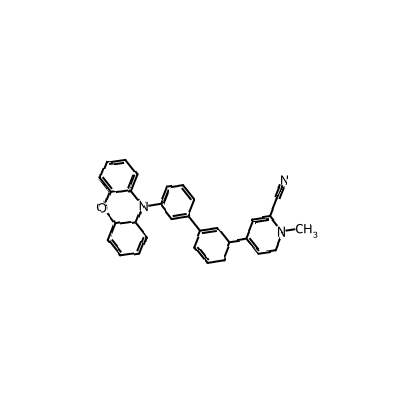 CN1CC=C(C2C=C(c3cccc(N4c5ccccc5OC5C=CC=CC54)c3)C=CC2)C=C1C#N